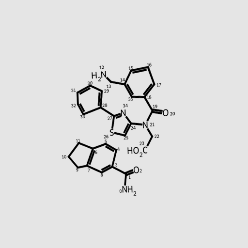 NC(=O)c1ccc2c(c1)CCC2.NCc1cccc(C(=O)N(CC(=O)O)c2csc(-c3ccccc3)n2)c1